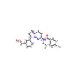 CC(CNc1ccc2ncc(-c3cc(CO)ccn3)n2n1)c1cc(F)ccc1O